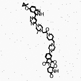 C[C@H]1CN(c2cc(-c3[nH]nc4ccc(OC5(C)CC5)cc34)ncn2)CCN1CC(=O)N1CCC(CN2CCN(c3ccc4c(c3)C(=O)N(C3CCC(=O)NC3=O)C4=O)CC2)CC1